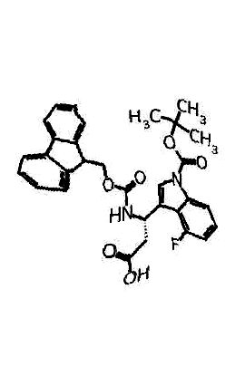 CC(C)(C)OC(=O)n1cc([C@H](CC(=O)O)NC(=O)OCC2c3ccccc3-c3ccccc32)c2c(F)cccc21